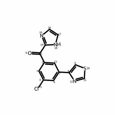 O=C(c1cc(Cl)cc(-c2cscn2)c1)c1ncc[nH]1